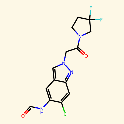 O=CNc1cc2cn(CC(=O)N3CCC(F)(F)C3)nc2cc1Cl